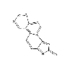 O=C1N=c2ccc3c(ccc4ccncc43)c2=N1